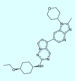 CCO[C@H]1CC[C@@H](Nc2ncc3c(-c4cnc5nc(C)n(C6CCOCC6)c5c4)ccn3n2)CC1